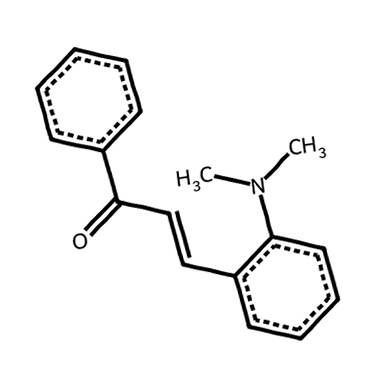 CN(C)c1ccccc1C=CC(=O)c1ccccc1